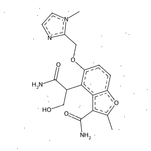 Cc1oc2ccc(OCc3nccn3C)c(C(CO)C(N)=O)c2c1C(N)=O